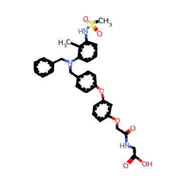 Cc1c(NS(C)(=O)=O)cccc1N(Cc1ccccc1)Cc1ccc(Oc2cccc(OCC(=O)NCC(=O)O)c2)cc1